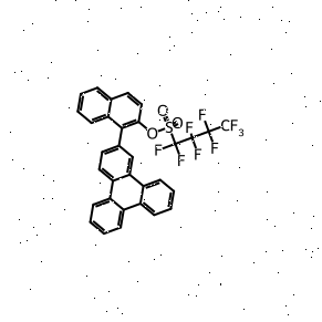 O=S(=O)(Oc1ccc2ccccc2c1-c1ccc2c3ccccc3c3ccccc3c2c1)C(F)(F)C(F)(F)C(F)(F)C(F)(F)F